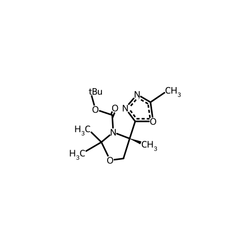 Cc1nnc([C@]2(C)COC(C)(C)N2C(=O)OC(C)(C)C)o1